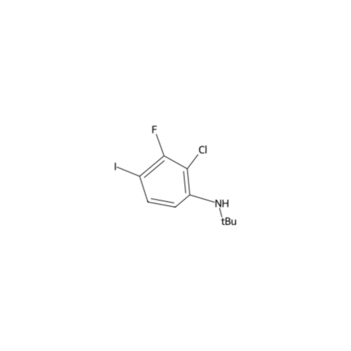 CC(C)(C)Nc1ccc(I)c(F)c1Cl